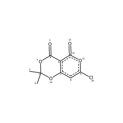 CC1(C)OC(=O)c2c(cc(Cl)oc2=O)O1